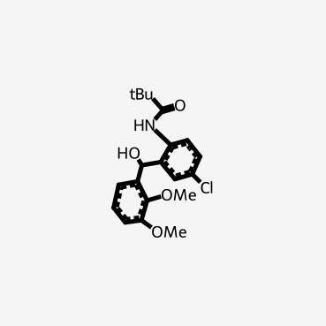 COc1cccc(C(O)c2cc(Cl)ccc2NC(=O)C(C)(C)C)c1OC